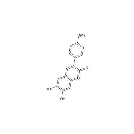 COc1ccc(-c2cc3cc(O)c(O)cc3oc2=O)cc1